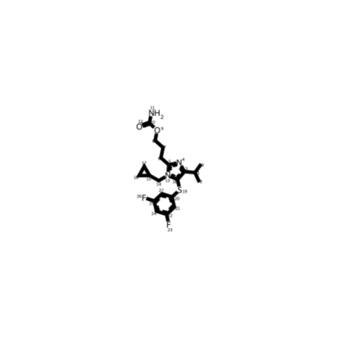 CC(C)c1nc(CCCOC(N)=O)n(CC2CC2)c1Sc1cc(F)cc(F)c1